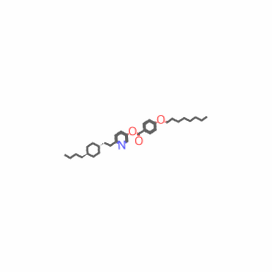 CCCCCCCCOc1ccc(C(=O)Oc2ccc(CC[C@H]3CC[C@H](CCCC)CC3)nc2)cc1